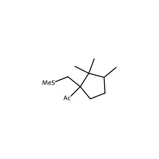 CSCC1(C(C)=O)CCC(C)C1(C)C